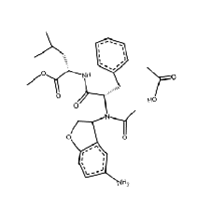 CC(=O)O.COC(=O)[C@H](CC(C)C)NC(=O)[C@H](Cc1ccccc1)N(C(C)=O)C1COc2ccc(N)cc21